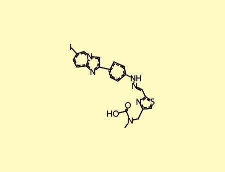 CN(Cc1csc(/C=N/Nc2ccc(-c3cn4cc(I)ccc4n3)cc2)n1)C(=O)O